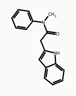 CN(C(=O)Cc1cc2c[c]ccc2[nH]1)c1ccccc1